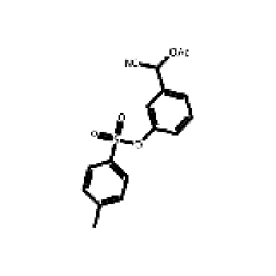 CC(=O)OC(C#N)c1cccc(OS(=O)(=O)c2ccc(C)cc2)c1